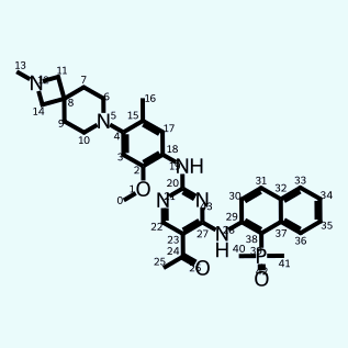 COc1cc(N2CCC3(CC2)CN(C)C3)c(C)cc1Nc1ncc(C(C)=O)c(Nc2ccc3ccccc3c2P(C)(C)=O)n1